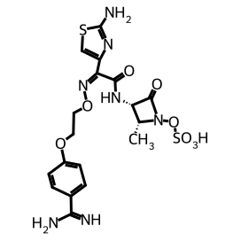 C[C@@H]1[C@H](NC(=O)/C(=N\OCCOc2ccc(C(=N)N)cc2)c2csc(N)n2)C(=O)N1OS(=O)(=O)O